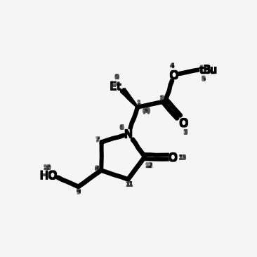 CC[C@@H](C(=O)OC(C)(C)C)N1CC(CO)CC1=O